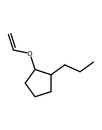 C=COC1CCCC1CCC